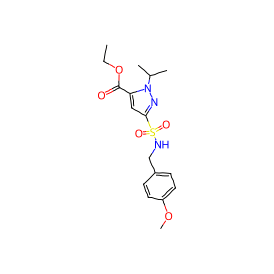 CCOC(=O)c1cc(S(=O)(=O)NCc2ccc(OC)cc2)nn1C(C)C